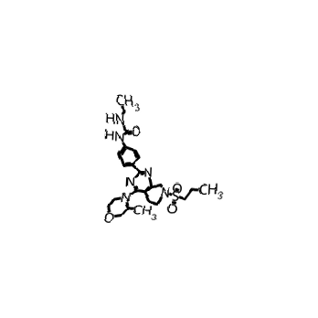 CCCS(=O)(=O)N1CCc2c(nc(-c3ccc(NC(=O)NCC)cc3)nc2N2CCOCC2C)C1